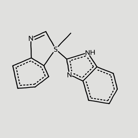 CS1(c2nc3ccccc3[nH]2)C=Nc2ccccc21